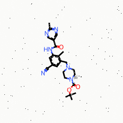 Cc1ncc(C(=O)Nc2cc(C#N)cc(CN3CCN(C(=O)OC(C)(C)C)[C@@H](C)C3)c2C)cn1